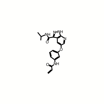 C=CC(=O)Nc1cccc(Oc2cnc3[nH]nc(C(=O)NC(C)C)c3c2)c1